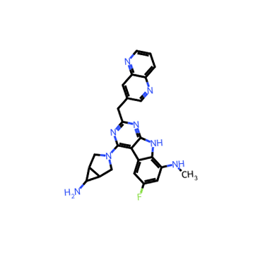 CNc1cc(F)cc2c1[nH]c1nc(Cc3cnc4cccnc4c3)nc(N3CC4C(N)C4C3)c12